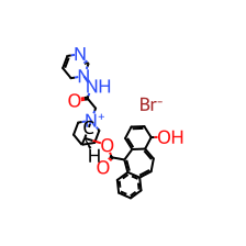 O=C(C[N+]12CCC(CC1)[C@@H](OC(=O)C1=c3ccccc3=CC=C3C1=CC=CC3O)C2)NN1C=NC=CC1.[Br-]